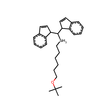 CC(C)(C)OCCCCCC[SiH2]C(C1C=Cc2ccccc21)C1C=Cc2ccccc21